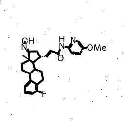 COc1ccc(NC(=O)C=C[C@H]2C/C(=N\O)[C@@]3(C)CCC4c5cccc(F)c5CCC4C23)nc1